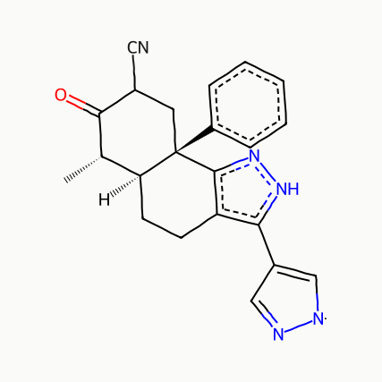 C[C@@H]1C(=O)C(C#N)C[C@]2(c3ccccc3)c3n[nH]c(C4=C[N]N=C4)c3CC[C@@H]12